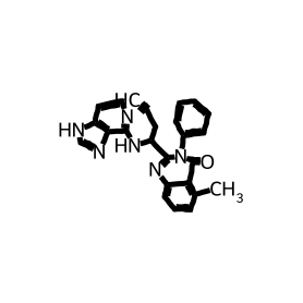 C#CCC(Nc1nccc2[nH]cnc12)c1nc2cccc(C)c2c(=O)n1-c1ccccc1